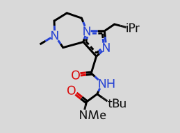 CNC(=O)C(NC(=O)c1nc(CC(C)C)n2c1CN(C)CCC2)C(C)(C)C